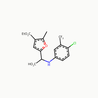 CCOC(=O)c1cc(C(Nc2ccc(Cl)c(C(F)(F)F)c2)C(=O)O)oc1C